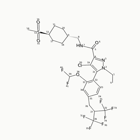 CCn1nc(C(=O)NC[C@H]2CC[C@H](S(C)(=O)=O)CC2)c(Cl)c1-c1ccc(CC(C(F)(F)F)C(F)(F)F)cc1OC(F)F